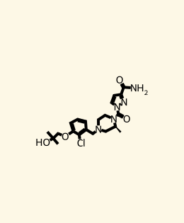 C[C@H]1CN(Cc2cccc(OCC(C)(C)O)c2Cl)CCN1C(=O)n1ccc(C(N)=O)n1